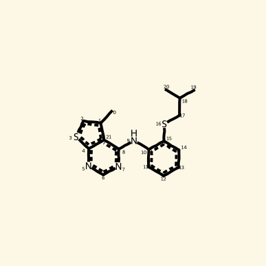 Cc1csc2ncnc(Nc3ccccc3SCC(C)C)c12